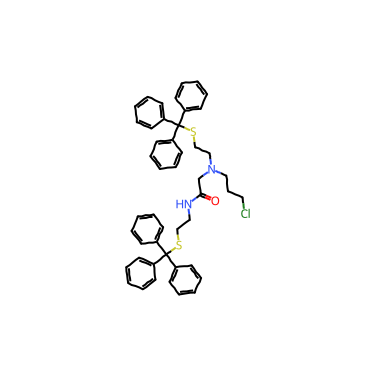 O=C(CN(CCCCl)CCSC(c1ccccc1)(c1ccccc1)c1ccccc1)NCCSC(c1ccccc1)(c1ccccc1)c1ccccc1